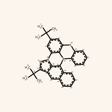 CC(C)(C)c1cc2c3c(c1)-n1nc(C(C)(C)C)c4cc5ccccc5c(c41)B3c1ccccc1S2